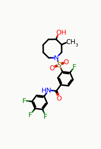 CC1CN(S(=O)(=O)c2cc(C(=O)Nc3cc(F)c(F)c(F)c3)ccc2F)CCCCC1O